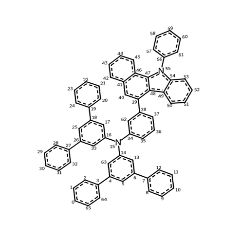 c1ccc(-c2cc(-c3ccccc3)cc(N(c3cc(-c4ccccc4)cc(-c4ccccc4)c3)c3cccc(-c4cc5ccccc5c5c4c4ccccc4n5-c4ccccc4)c3)c2)cc1